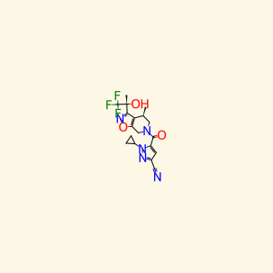 C[C@H]1CN(C(=O)c2cc(C#N)nn2C2CC2)Cc2onc([C@@](C)(O)C(F)(F)F)c21